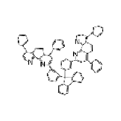 c1ccc(-c2ccnc3c2ccc2c(-c4ccccc4)cc(-c4cccc(C5(c6cccc(-c7cc(-c8ccccc8)c8ccc9c(-c%10ccccc%10)ccnc9c8n7)c6)c6ccccc6-c6ccccc65)c4)nc23)cc1